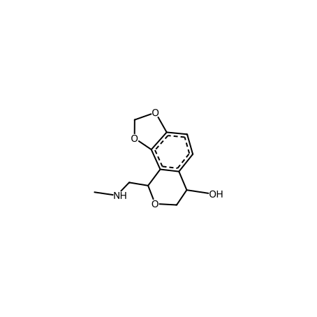 CNCC1OCC(O)c2ccc3c(c21)OCO3